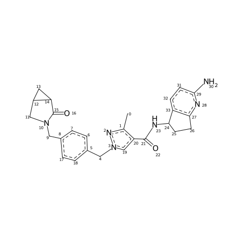 Cc1nn(Cc2ccc(CN3CC4CC4C3=O)cc2)cc1C(=O)NC1CCc2nc(N)ccc21